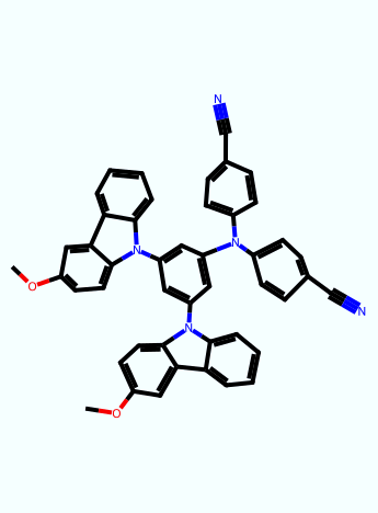 COc1ccc2c(c1)c1ccccc1n2-c1cc(N(c2ccc(C#N)cc2)c2ccc(C#N)cc2)cc(-n2c3ccccc3c3cc(OC)ccc32)c1